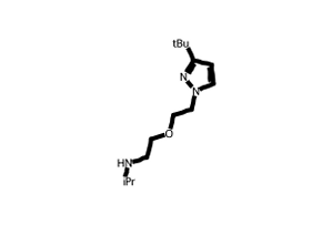 CC(C)NCCOCCn1ccc(C(C)(C)C)n1